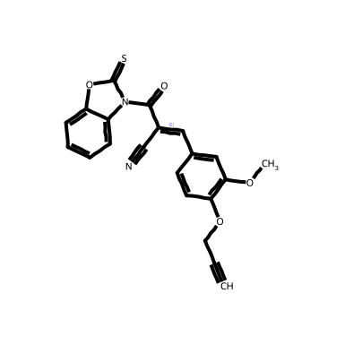 C#CCOc1ccc(/C=C(\C#N)C(=O)n2c(=S)oc3ccccc32)cc1OC